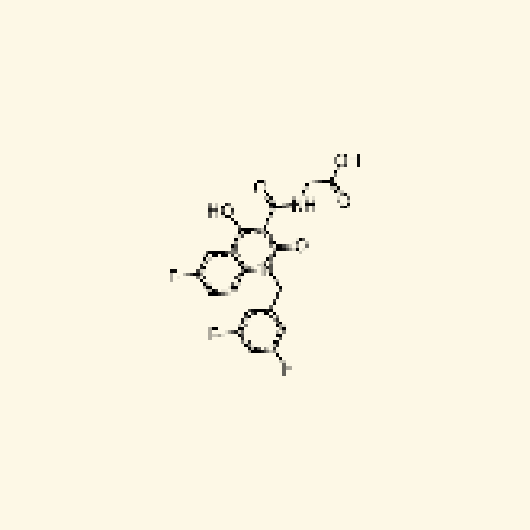 O=C(O)CNC(=O)c1c(O)c2cc(F)ccc2n(Cc2cc(F)cc(F)c2)c1=O